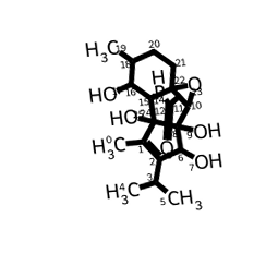 CC1=C(C(C)C)C(O)C2(O)C34CC(=O)PC5(C(O)C(C)CCC35O4)C12O